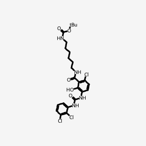 CC(C)(C)OC(=O)NCCCCCCNC(=O)c1c(Cl)ccc(NC(=O)Nc2cccc(Cl)c2Cl)c1O